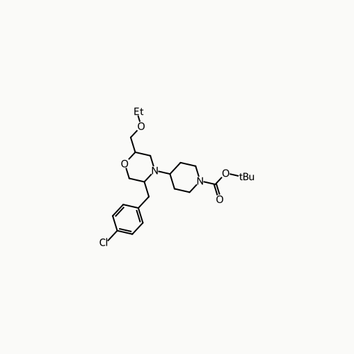 CCOCC1CN(C2CCN(C(=O)OC(C)(C)C)CC2)C(Cc2ccc(Cl)cc2)CO1